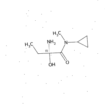 CC[C@](N)(O)C(=O)N(C)C1CC1